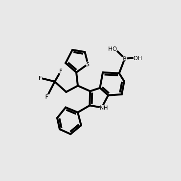 OB(O)c1ccc2[nH]c(-c3ccccc3)c(C(CC(F)(F)F)c3cccs3)c2c1